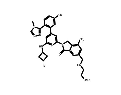 COCCNCc1cc2c(c(C(F)(F)F)c1)CN(c1cc(-c3cc(C#N)ccc3-c3nncn3C)cc(N[C@H]3C[C@H](C)C3)n1)C2=O